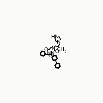 C=C(CN1CCNCC1)CN(CCOc1ccccc1C#N)C(=O)Nc1ccc(-c2ccccc2)cc1